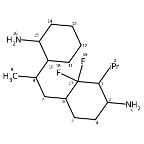 CC(C)C1C(N)CCC(CC(C)C2CCCCC2N)C1(F)F